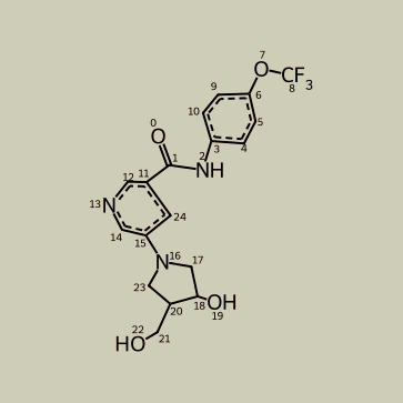 O=C(Nc1ccc(OC(F)(F)F)cc1)c1cncc(N2CC(O)C(CO)C2)c1